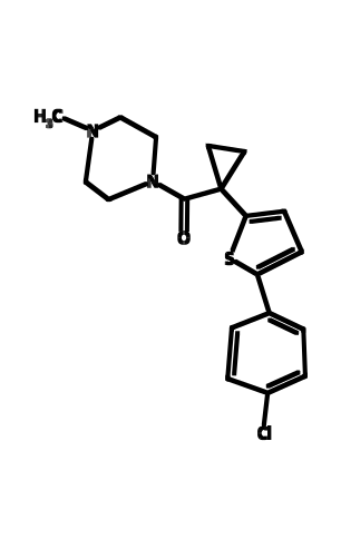 CN1CCN(C(=O)C2(c3ccc(-c4ccc(Cl)cc4)s3)CC2)CC1